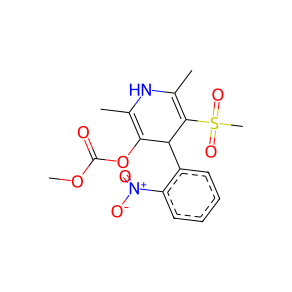 COC(=O)OC1=C(C)NC(C)=C(S(C)(=O)=O)C1c1ccccc1[N+](=O)[O-]